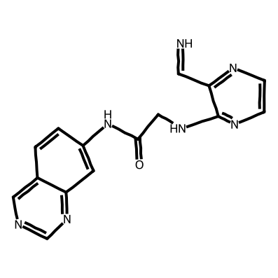 N=Cc1nccnc1NCC(=O)Nc1ccc2cncnc2c1